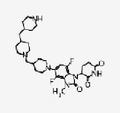 Cn1c(=O)n(C2CCC(=O)NC2=O)c2c(F)cc(N3CCC(CN4CCC(CC5CCNCC5)CC4)CC3)c(F)c21